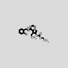 CCOC(=O)Oc1cn2ncnc(NCc3ccccc3Br)c2c1CC